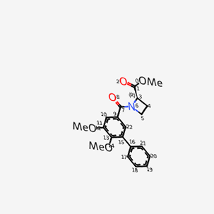 COC(=O)[C@H]1CCN1C(=O)c1cc(OC)c(OC)c(-c2ccccc2)c1